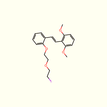 COc1cccc(OC)c1C=Cc1ccccc1OCCOCCI